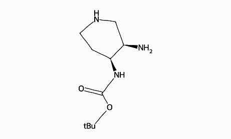 CC(C)(C)OC(=O)N[C@H]1CCNC[C@H]1N